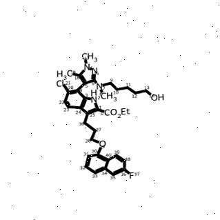 CCOC(=O)c1[nH]c2c(-c3c(N(C)CCCCCO)nn(C)c3C)c(Cl)ccc2c1CCCOc1cccc2cc(F)ccc12